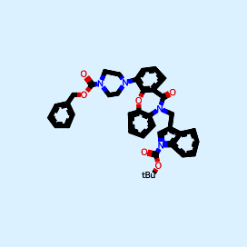 CC(C)(C)OC(=O)n1cc(CN2C(=O)c3cccc(N4CCN(C(=O)OCc5ccccc5)CC4)c3Oc3ccccc32)c2ccccc21